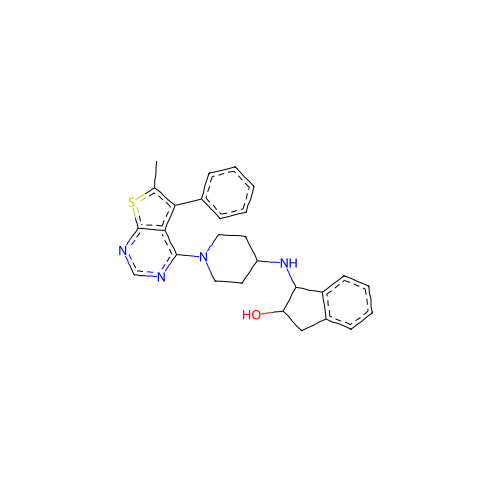 Cc1sc2ncnc(N3CCC(NC4c5ccccc5CC4O)CC3)c2c1-c1ccccc1